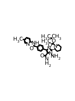 Cc1ccc(NC(=O)c2ccc(-c3nc([C@@H]4CCCCN4C(=O)OC(C)(C)C)n(N)c3C(N)=O)cc2)nc1